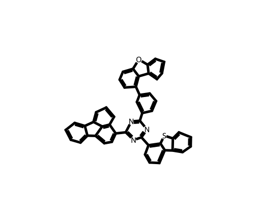 c1cc(-c2nc(-c3ccc4c5c(cccc35)-c3ccccc3-4)nc(-c3cccc4c3sc3ccccc34)n2)cc(-c2cccc3oc4ccccc4c23)c1